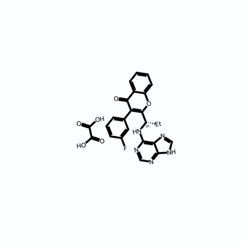 CC[C@H](Nc1ncnc2[nH]cnc12)c1oc2ccccc2c(=O)c1-c1cccc(F)c1.O=C(O)C(=O)O